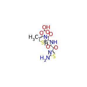 CC1=C(OC(=O)O)N2C(=O)C(NC(=O)C(=O)c3csc(N)n3)[C@@H]2SC1